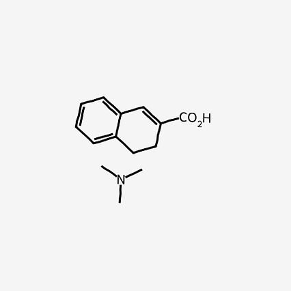 CN(C)C.O=C(O)C1=Cc2ccccc2CC1